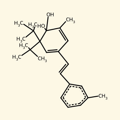 CC1=CC(C=Cc2cccc(C)c2)=CC(C(C)(C)C)(C(C)(C)C)C1(O)O